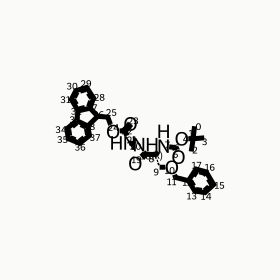 CC(C)(C)OC(=O)N[C@H](COCc1ccccc1)C(=O)NNC(=O)OCC1c2ccccc2-c2ccccc21